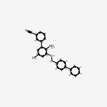 N#Cc1cccc(-c2cc(Cl)cc(OCc3ccc(-c4ccccc4)cc3)c2N)c1